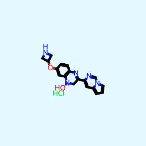 Cl.ON1CC(c2cc3cccn3cn2)=Nc2ccc(OC3CNC3)cc21